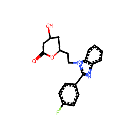 O=C1CC(O)CC(CCn2c(-c3ccc(F)cc3)nc3ccccc32)O1